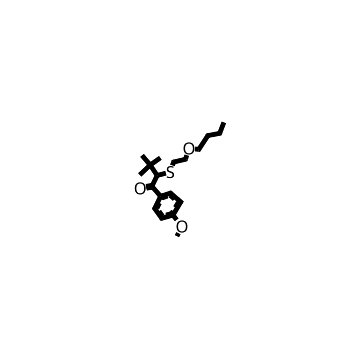 CCCCOCCSC(C(=O)c1ccc(OC)cc1)C(C)(C)C